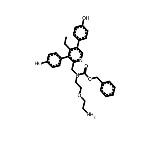 CCc1c(-c2ccc(O)cc2)cnc(CN(CCOCCN)C(=O)OCc2ccccc2)c1-c1ccc(O)cc1